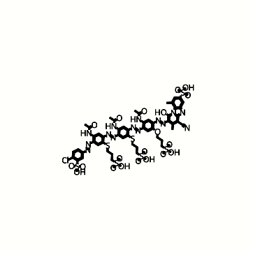 CC(=O)Nc1cc(N=Nc2cc(SCCCS(=O)(=O)O)c(N=Nc3cc(OCCCS(=O)(=O)O)c(N=Nc4c(C)c(C#N)c5nc6cc(S(=O)(=O)O)cc(C)c6n5c4O)cc3NC(C)=O)cc2NC(C)=O)c(SCCCS(=O)(=O)O)cc1N=Nc1ccc(Cl)c(S(=O)(=O)O)c1